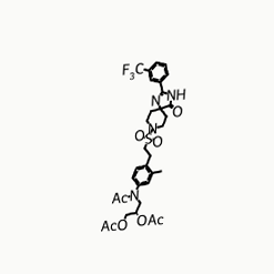 CC(=O)OC[C@H](CN(C(C)=O)c1ccc(CCS(=O)(=O)N2CCC3(CC2)N=C(c2cccc(C(F)(F)F)c2)NC3=O)c(C)c1)OC(C)=O